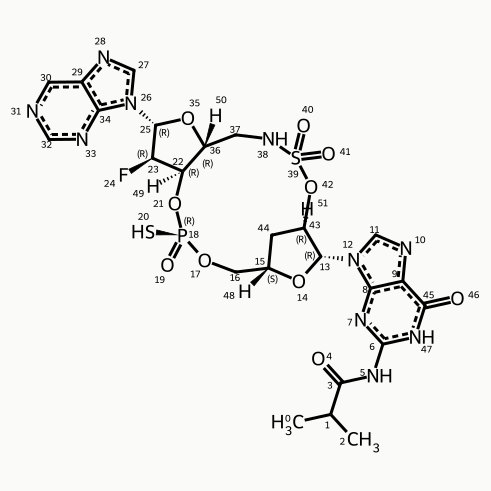 CC(C)C(=O)Nc1nc2c(ncn2[C@@H]2O[C@@H]3CO[P@@](=O)(S)O[C@H]4[C@@H](F)[C@H](n5cnc6cncnc65)O[C@@H]4CNS(=O)(=O)O[C@@H]2C3)c(=O)[nH]1